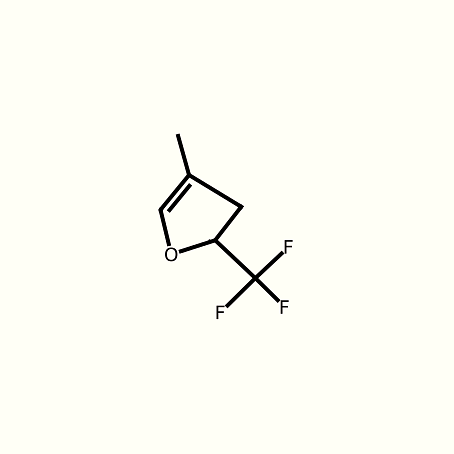 CC1=CO[C](C(F)(F)F)C1